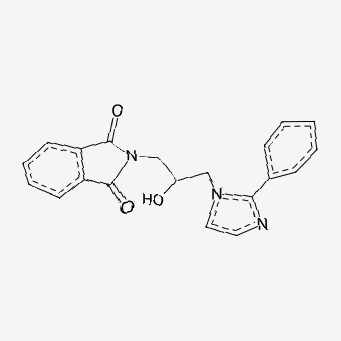 O=C1c2ccccc2C(=O)N1CC(O)Cn1ccnc1-c1ccccc1